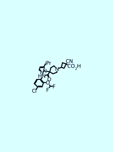 CC(C)c1ccnn1C1(C(=O)Nc2ccc(Cl)cc2OC(F)F)CCN(C2CC(C#N)(C(=O)O)C2)CC1